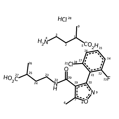 CC(CCN)C(=O)O.Cc1onc(-c2c(F)cccc2Cl)c1C(=O)NCCC(C)C(=O)O.Cl